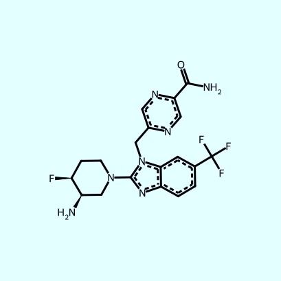 NC(=O)c1cnc(Cn2c(N3CC[C@H](F)[C@H](N)C3)nc3ccc(C(F)(F)F)cc32)cn1